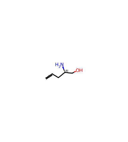 C=CC[C@@H](N)CO